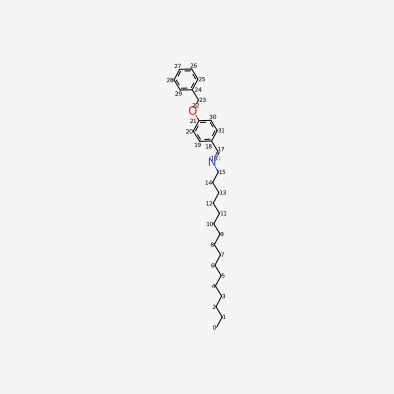 CCCCCCCCCCCCCCCC/N=C/c1ccc(OCc2ccccc2)cc1